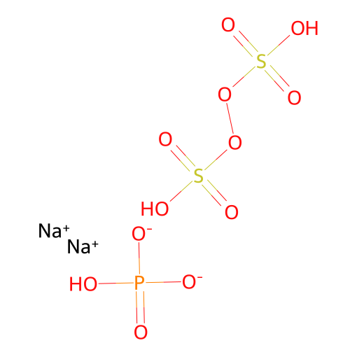 O=P([O-])([O-])O.O=S(=O)(O)OOS(=O)(=O)O.[Na+].[Na+]